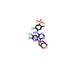 COc1c(Nc2cc(C)c(S(C)(=O)=O)cc2F)ncnc1OC1C2COCC1CN(c1ncc(Cl)cn1)C2